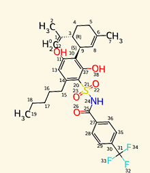 C=C(C)[C@@H]1CCC(C)=C[C@H]1c1c(O)cc(CCCCC)c(S(=O)(=O)NC(=O)c2ccc(C(F)(F)F)cc2)c1O